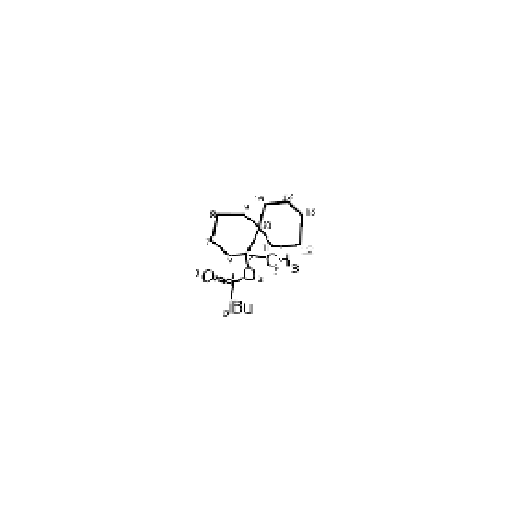 CCC(C)C(=O)OC1(C)CCCCC12CCCCC2